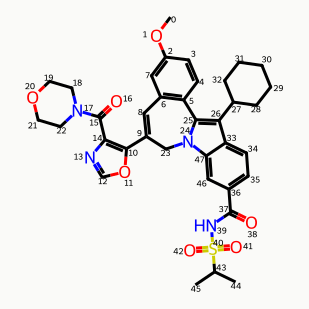 COc1ccc2c(c1)C=C(c1ocnc1C(=O)N1CCOCC1)Cn1c-2c(C2CCCCC2)c2ccc(C(=O)NS(=O)(=O)C(C)C)cc21